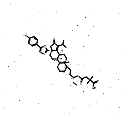 CC[C@H](CC[C@@]1(C)[C@H](C)CC[C@]2(C)[C@@H]1CC[C@@H]1C3=C(C(C)C)C(=O)C[C@]3(c3nnc(-c4ccc(Br)cc4)o3)CC[C@]12C)OC(=O)CC(C)(C)C(=O)O